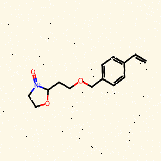 C=Cc1ccc(COCCC2OCC[N+]2=O)cc1